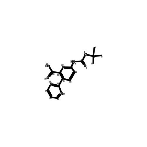 CC(C)(C)OC(=O)Nc1ccc(-c2ncccn2)c(C(=O)O)n1